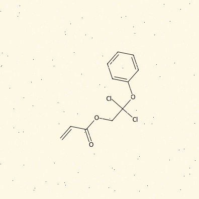 C=CC(=O)OCC(Cl)(Cl)Oc1ccccc1